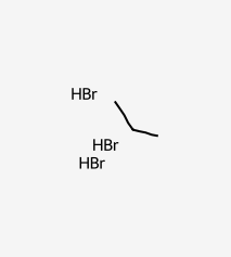 Br.Br.Br.CCC